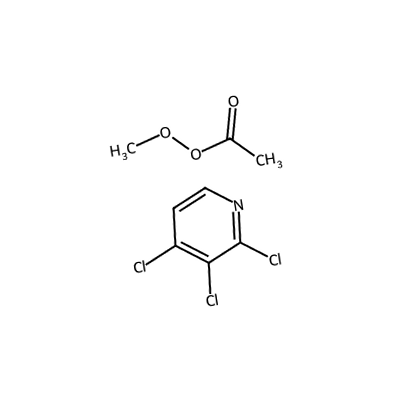 COOC(C)=O.Clc1ccnc(Cl)c1Cl